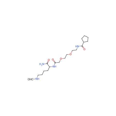 NC(=O)C(CCCCNC=O)NC(=O)COCCOCCNC(=O)C1CCCC1